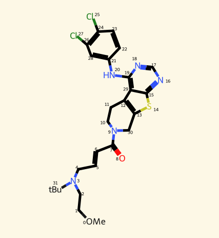 COCCN(C/C=C/C(=O)N1CCc2c(sc3ncnc(Nc4ccc(Cl)c(Cl)c4)c23)C1)C(C)(C)C